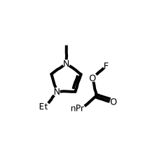 CCCC(=O)OF.CCN1C=CN(C)C1